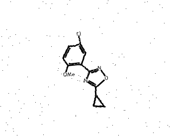 COc1ccc(Cl)cc1-c1noc(C2CC2)n1